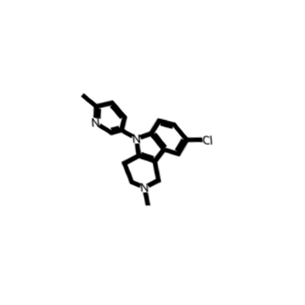 Cc1ccc(-n2c3c(c4cc(Cl)ccc42)CN(C)CC3)cn1